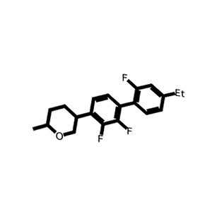 CCc1ccc(-c2ccc(C3CCC(C)OC3)c(F)c2F)c(F)c1